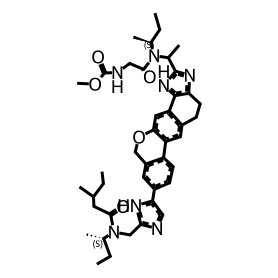 CCC(C)CC(=O)N(Cc1ncc(-c2ccc3c(c2)COc2cc4c(cc2-3)CCc2nc(C(C)N(C(=O)CNC(=O)OC)[C@@H](C)CC)[nH]c2-4)[nH]1)[C@@H](C)CC